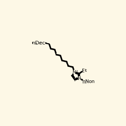 CCCCCCCCCCCCCCCCCCC[n+]1ccn(CCCCCCCCC)c1CC